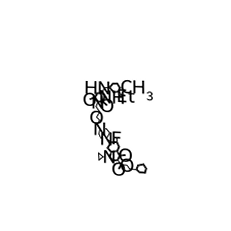 CCc1cc(Nc2cc(=O)n(CCOCCN3CCN(c4cc5c(cc4F)c(=O)c(C(=O)OCc4ccccc4)cn5C4CC4)CC3)c(=O)[nH]2)ccc1C